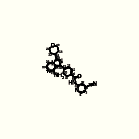 N#Cc1ccnc(NC(=O)C2=CC=C(c3nc(C4CCOCC4)n4ccnc(N)c34)CC2)c1